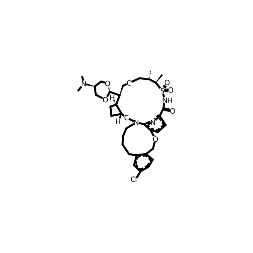 C[C@@H]1[C@@H](C)CCC[C@H]([C@H]2OC[C@H](N(C)C)CO2)[C@@H]2CC[C@H]2CN2CCCCc3cc(Cl)ccc3COc3ccc(nc32)C(=O)NS1(=O)=O